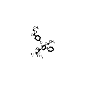 CCOC(=O)[C@H]1CC[C@H](OC[C@@H]2[C@@H](OCC)[C@H](N3CCCCC3)CN2C(=O)OC(C)(C)C)CC1